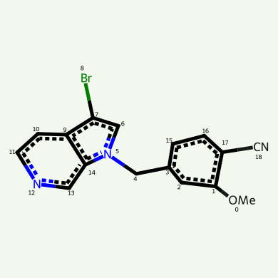 COc1cc(Cn2cc(Br)c3ccncc32)ccc1C#N